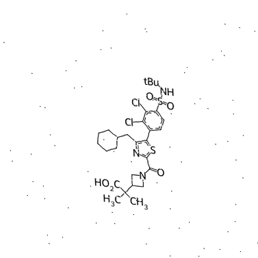 CC(C)(C)NS(=O)(=O)c1ccc(-c2sc(C(=O)N3CC(C(C)(C)C(=O)O)C3)nc2CC2CCCCC2)c(Cl)c1Cl